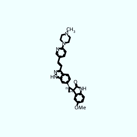 COc1ccc2c(c1)[C@]1(C[C@H]1c1ccc3c(C=Cc4ccc(N5CCN(C)CC5)nc4)n[nH]c3c1)C(=O)N2